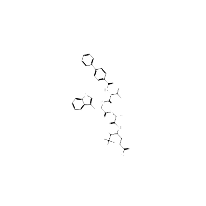 CC(C)[C@H](NC(=O)c1ccc(-c2ccccc2)cc1)C(=O)N[C@@H](Cc1c[nH]c2ccccc12)C(=O)N[C@@H](C)C(=O)NC(CCC(N)=O)C(O)C(F)(F)F